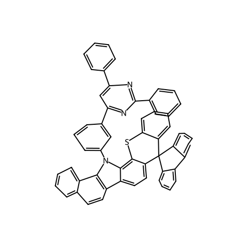 c1ccc(-c2cc(-c3cccc(-n4c5c6c(ccc5c5ccc7ccccc7c54)C4(c5ccccc5S6)c5ccccc5-c5ccccc54)c3)nc(-c3ccccc3)n2)cc1